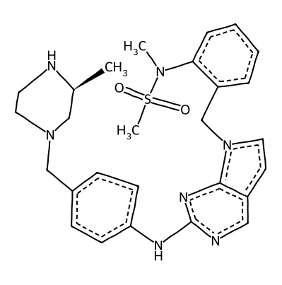 C[C@H]1CN(Cc2ccc(Nc3ncc4ccn(Cc5ccccc5N(C)S(C)(=O)=O)c4n3)cc2)CCN1